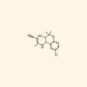 CC(=NC#N)NC1c2cc(Cl)ccc2OC(C)(C)C1O